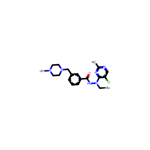 CCCN1CCN(Cc2cccc(C(=O)NN(CC(C)(C)C)c3nc(C#N)ncc3Cl)c2)CC1